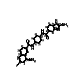 Cc1cc(N)c2cc(C(=O)Nc3ccc(NC(=O)c4ccc5[nH]c(N)nc5c4)cc3)ccc2n1